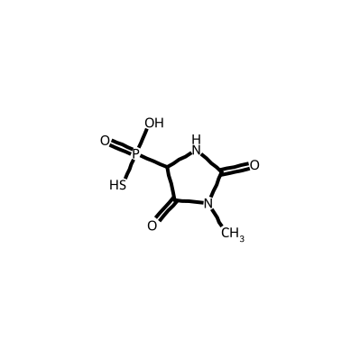 CN1C(=O)NC(P(=O)(O)S)C1=O